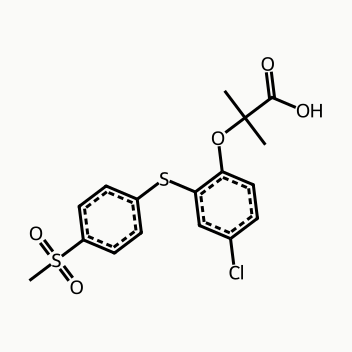 CC(C)(Oc1ccc(Cl)cc1Sc1ccc(S(C)(=O)=O)cc1)C(=O)O